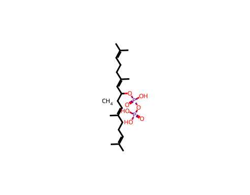 C.CC(C)=CCC/C(C)=C/CC(/C=C(\C)CCC=C(C)C)OP(=O)(O)OP(=O)(O)O